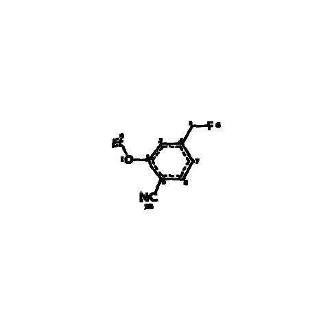 CCOc1cc(CF)ccc1C#N